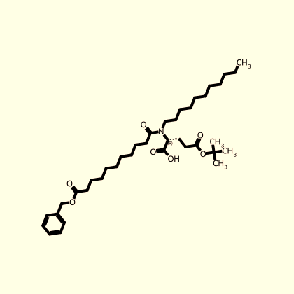 CCCCCCCCCCCN(C(=O)CCCCCCCCCC(=O)OCc1ccccc1)[C@H](CCC(=O)OC(C)(C)C)C(=O)O